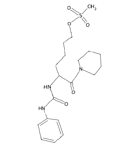 CS(=O)(=O)OCCCCC(NC(=O)Nc1ccccc1)C(=O)N1CCCCC1